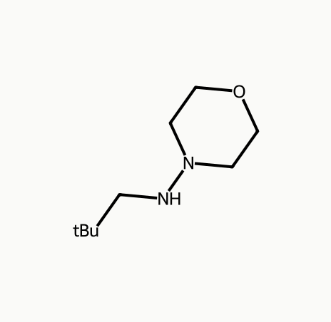 CC(C)(C)CNN1CCOCC1